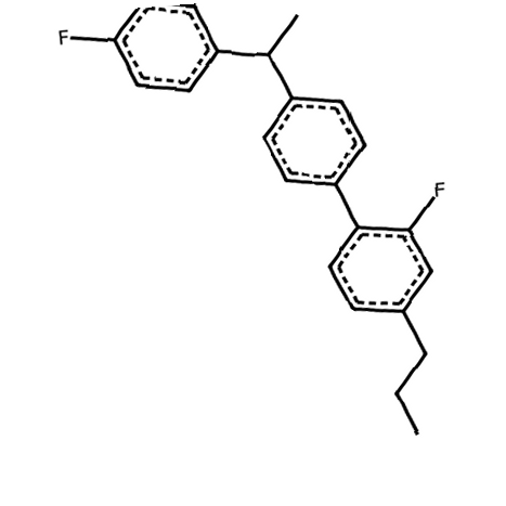 CCCc1ccc(-c2ccc(C(C)c3ccc(F)cc3)cc2)c(F)c1